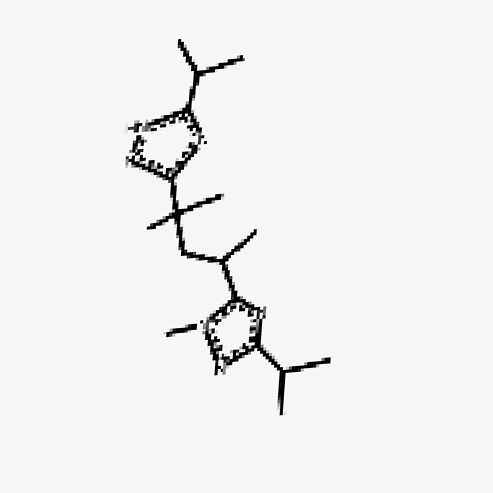 CC(C)c1nc(C(C)CC(C)(C)c2n[nH]c(C(C)C)n2)n(C)n1